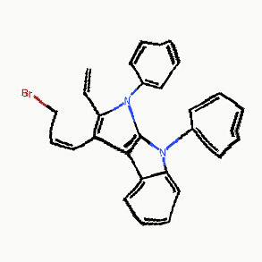 C=Cc1c(/C=C\CBr)c2c3ccccc3n(-c3ccccc3)c2n1-c1ccccc1